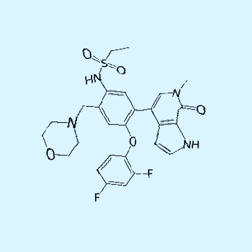 CCS(=O)(=O)Nc1cc(-c2cn(C)c(=O)c3[nH]ccc23)c(Oc2ccc(F)cc2F)cc1CN1CCOCC1